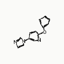 c1ccc(Oc2ccc(-n3ccnc3)cn2)cc1